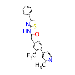 Cc1cc(-c2ccc(CC(=O)Nc3nc(-c4ccccc4)cs3)cc2C(F)(F)F)ccn1